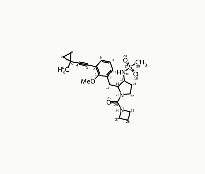 COc1c(C#CC2(C)CC2)cccc1CC1C(NS(C)(=O)=O)CCN1C(=O)N1CCC1